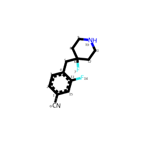 N#Cc1ccc(CC2(F)CCNCC2)c(F)c1